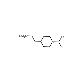 CCOC(=O)CCC1CCN(C(CC)CC)CC1